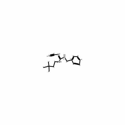 CC(C)(C)CCN/C(=N\C#N)NCc1ccccc1